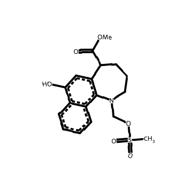 COC(=O)C1CCCN(COS(C)(=O)=O)c2c1cc(O)c1ccccc21